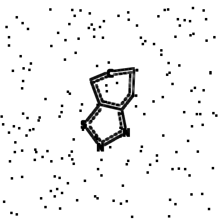 [c]1[c]c2nnsc2cc1